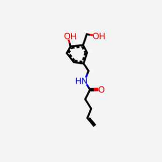 C=CCCC(=O)NCc1ccc(O)c(CO)c1